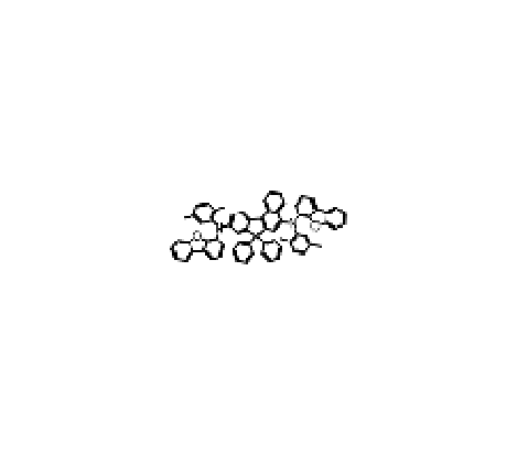 Cc1ccc(C)c(N(c2ccc3c(c2)C(c2ccccc2)(c2ccccc2)c2cc(N(c4cc(C)ccc4C)c4cccc5c4oc4ccccc45)c4ccccc4c2-3)c2cccc3c2oc2ccccc23)c1